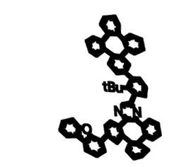 CC(C)(C)c1c(-c2ccc3c(c2)-c2ccccc2-c2ccccc2-c2ccccc2-3)cccc1-c1cnc2c(n1)-c1ccccc1-c1ccccc1-c1cc(-c3cccc4c3oc3ccccc34)ccc1-2